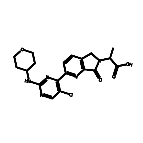 CC(C(=O)O)N1Cc2ccc(-c3nc(NC4CCOCC4)ncc3Cl)nc2C1=O